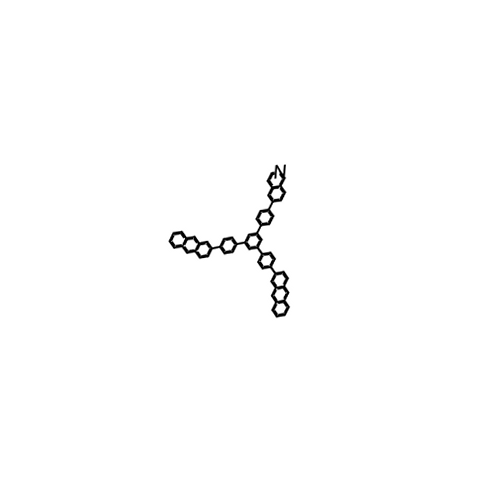 c1ccc2cc3cc(-c4ccc(-c5cc(-c6ccc(-c7ccc8cnccc8c7)cc6)cc(-c6ccc(-c7ccc8cc9ccccc9cc8c7)cc6)c5)cc4)ccc3cc2c1